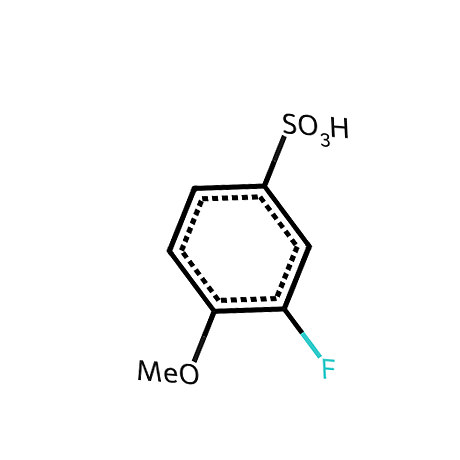 COc1ccc(S(=O)(=O)O)cc1F